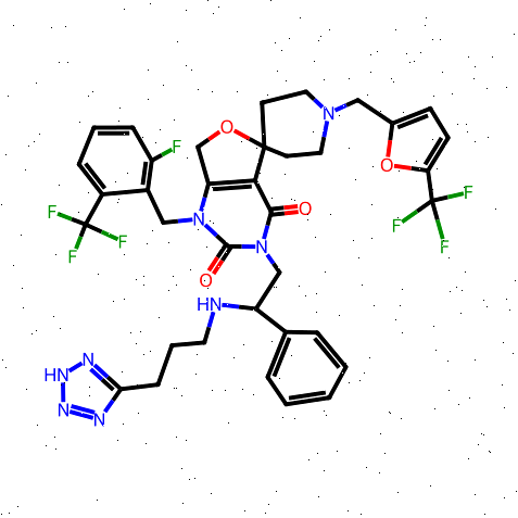 O=c1c2c(n(Cc3c(F)cccc3C(F)(F)F)c(=O)n1CC(NCCCc1nn[nH]n1)c1ccccc1)COC21CCN(Cc2ccc(C(F)(F)F)o2)CC1